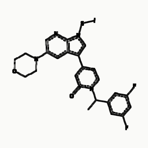 CC(c1cc(F)cc(F)c1)n1ccc(-c2cn(SI)c3ncc(N4CCOCC4)cc23)cc1=O